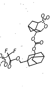 O=C(OC1C2CC3C1OS(=O)(=O)C3C2)OC12CC3CC(CC(COC(=O)C(F)(F)S(=O)(=O)O)(C3)C1)C2